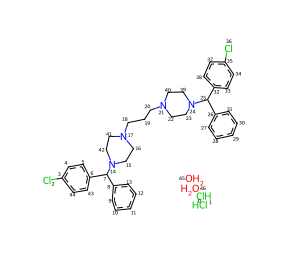 Cl.Cl.Clc1ccc(C(c2ccccc2)N2CCN(CCCN3CCN(C(c4ccccc4)c4ccc(Cl)cc4)CC3)CC2)cc1.O.O